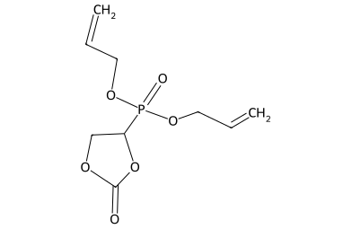 C=CCOP(=O)(OCC=C)C1COC(=O)O1